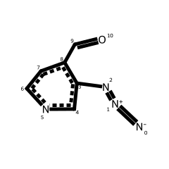 [N-]=[N+]=Nc1cnccc1C=O